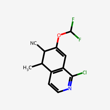 CC1c2ccnc(Cl)c2C=C(OC(F)F)C1C#N